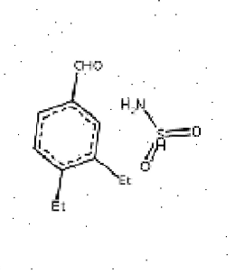 CCc1ccc(C=O)cc1CC.N[SH](=O)=O